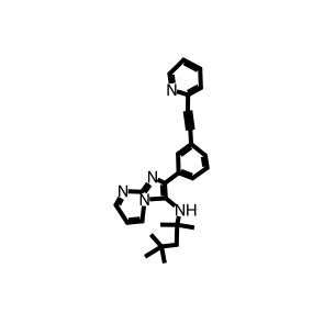 CC(C)(C)CC(C)(C)Nc1c(-c2cccc(C#Cc3ccccn3)c2)nc2ncccn12